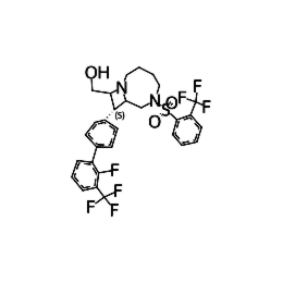 O=S(=O)(c1ccccc1C(F)(F)F)N1CCCCN2C(CO)[C@@H](c3ccc(-c4cccc(C(F)(F)F)c4F)cc3)C2C1